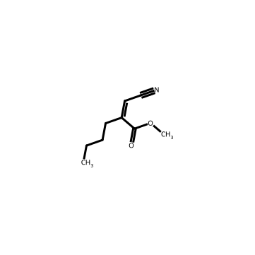 CCCCC(=CC#N)C(=O)OC